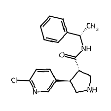 C[C@H](NC(=O)[C@@H]1CNC[C@H]1c1ccc(Cl)nc1)c1ccccc1